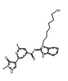 Cc1cc(C(=O)/N=c2\[nH]c3ccccc3n2CCCCCCCO)cc(-c2c[nH]n(C)c2=O)n1